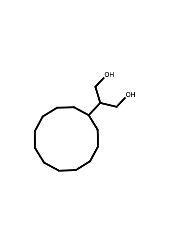 OCC(CO)C1CCCCCCCCCCC1